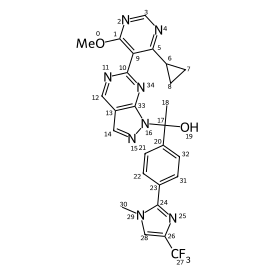 COc1ncnc(C2CC2)c1-c1ncc2cnn(C(C)(O)c3ccc(-c4nc(C(F)(F)F)cn4C)cc3)c2n1